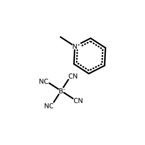 C[n+]1ccccc1.N#C[B-](C#N)(C#N)C#N